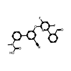 CN(C(=O)O)c1cccc(-c2cc(C#N)cc(Oc3nc(-c4ccccc4C=O)c(F)cc3F)c2)c1